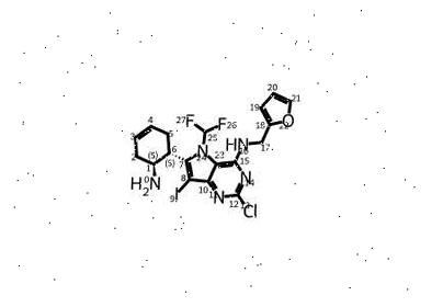 N[C@H]1CC=CC[C@@H]1c1c(I)c2nc(Cl)nc(NCc3ccco3)c2n1C(F)F